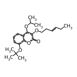 CCC=CCCOc1c(OC(C)C)c2cccc(OC(C)(C)C)c2oc1=O